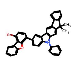 CC1(C)c2ccccc2-c2cc3c4cc(-c5ccc(Br)c6c5oc5ccccc56)ccc4n(-c4ccccc4)c3cc21